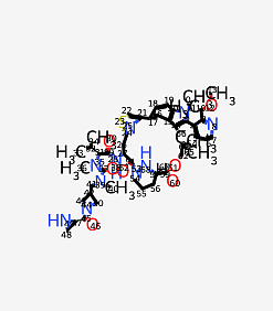 CCn1c(-c2cccnc2[C@H](C)OC)c2c3cc(ccc31)-c1csc(n1)C[C@H](NC(=O)[C@H](C(C)C)N(C)C(=O)N(C)CC1CN(C(=O)[C@@H]3CN3)C1)C(=O)N1CCC[C@H](N1)C(=O)OCC(C)(C)C2